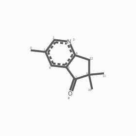 Cc1cnc2c(c1)C(=O)C(C)(C)C2